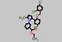 CCOC(=O)c1cccc(-n2c(C)ccc2-c2cc(Br)ccc2OCc2ccc(Cl)cc2Cl)c1